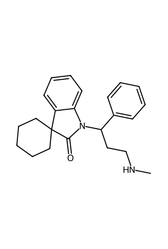 CNCCC(c1ccccc1)N1C(=O)C2(CCCCC2)c2ccccc21